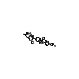 C=C(N)Cc1cnc(C2=CCN(C(=O)Nc3ccc(C(F)(F)F)cn3)CC2)c(Cl)c1